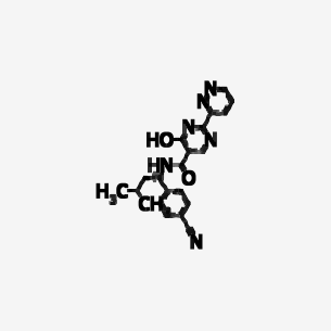 CC(C)C[C@@H](NC(=O)c1cnc(-c2cccnn2)nc1O)c1ccc(C#N)cc1